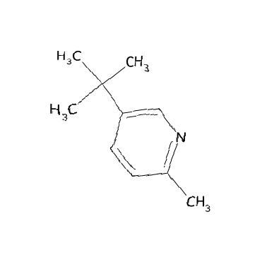 Cc1ccc(C(C)(C)C)cn1